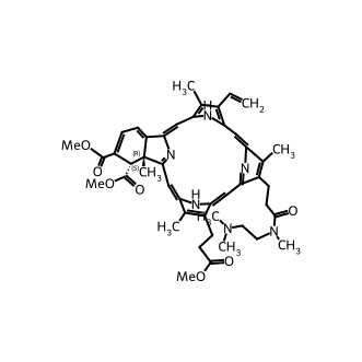 C=Cc1c(C)c2cc3nc(cc4[nH]c(cc5nc(cc1[nH]2)C(C)=C5CCC(=O)N(C)CCN(C)C)c(CCC(=O)OC)c4C)[C@@]1(C)C3=CC=C(C(=O)OC)[C@H]1C(=O)OC